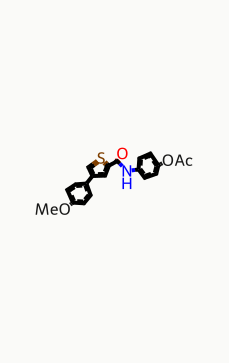 COc1ccc(-c2csc(C(=O)Nc3ccc(OC(C)=O)cc3)c2)cc1